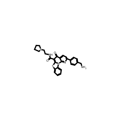 NCc1ccc(-c2ccc3c(=O)c(C(=O)NCCN4CCCC4)c4sc5ccccc5n4c3n2)cc1